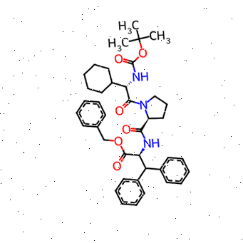 CC(C)(C)OC(=O)N[C@H](C(=O)N1CCC[C@H]1C(=O)N[C@H](C(=O)OCc1ccccc1)C(c1ccccc1)c1ccccc1)C1CCCCC1